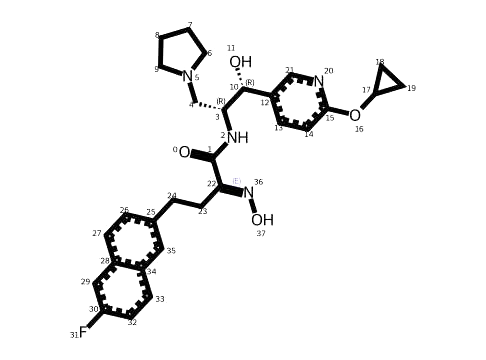 O=C(N[C@H](CN1CCCC1)[C@H](O)c1ccc(OC2CC2)nc1)/C(CCc1ccc2cc(F)ccc2c1)=N/O